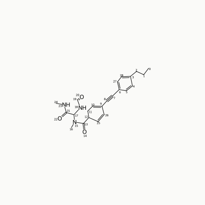 CCCc1ccc(C#CC2=CCC(C(=O)N(C)C(NC=O)C(=O)NC)C=C2)cc1